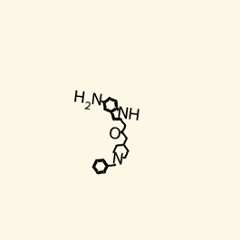 Nc1ccc2[nH]c(CC(=O)CC3CCN(Cc4ccccc4)CC3)cc2c1